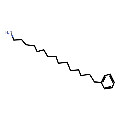 NCCCCCCCCCCCCCCCc1ccccc1